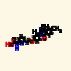 Cc1ccc(C(=O)Nc2ccc(OCCc3cccc(NC(=O)O)n3)cc2)c(N(C)C)c1